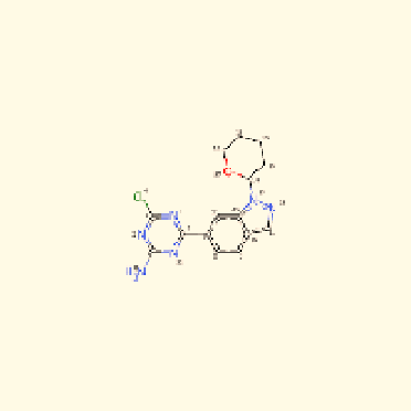 Nc1nc(Cl)nc(-c2ccc3cnn(C4CCCCO4)c3c2)n1